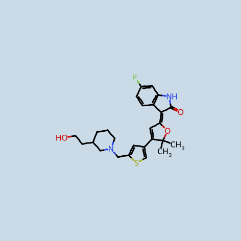 CC1(C)OC(=C2C(=O)Nc3cc(F)ccc32)C=C1c1csc(CN2CCCC(CCO)C2)c1